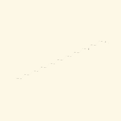 NCCCCCCCCCCCCCCCCNCCC[SiH3]